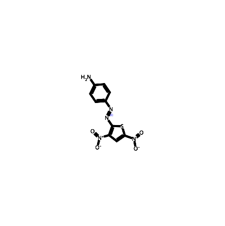 Nc1ccc(/N=N/c2sc([N+](=O)[O-])cc2[N+](=O)[O-])cc1